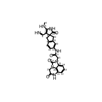 CNC1=C(C=N)C2(Cc3ccc(NC(=O)Cn4c(=O)n5c6c(cccc64)NC(=O)C5)cc3C2)C(=O)N1